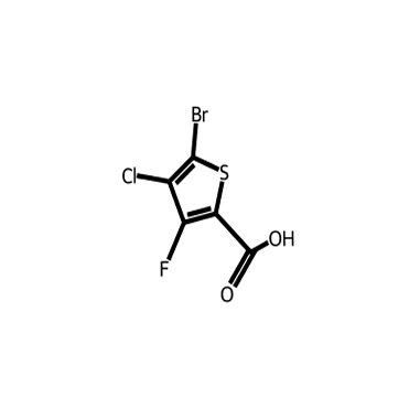 O=C(O)c1sc(Br)c(Cl)c1F